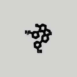 N#Cc1cccc(-c2ccc3ncc4ccc(=O)n(-c5cccc(C(F)(F)F)c5)c4c3c2)c1